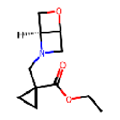 CCOC(=O)C1(CN2CC3OC[C@@H]32)CC1